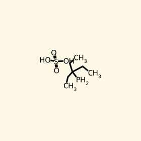 CCC(P)(CC)CC.O=S(=O)(O)O